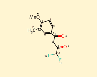 COc1ccc(C(=O)CC(=O)C(F)F)cc1C